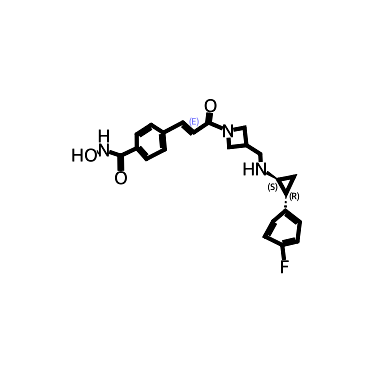 O=C(NO)c1ccc(/C=C/C(=O)N2CC(CN[C@H]3C[C@@H]3c3ccc(F)cc3)C2)cc1